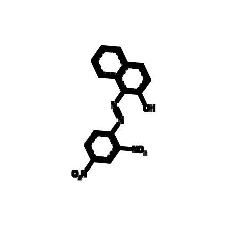 O=[N+]([O-])c1ccc(N=Nc2c(O)ccc3ccccc23)c([N+](=O)[O-])c1